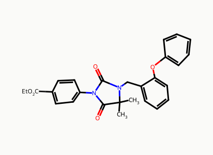 CCOC(=O)c1ccc(N2C(=O)N(Cc3ccccc3Oc3ccccc3)C(C)(C)C2=O)cc1